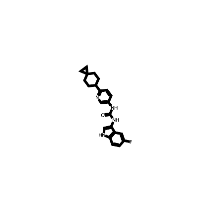 O=C(Nc1ccc(C2CCC3(CC2)CC3)nc1)Nc1c[nH]c2ccc(F)cc12